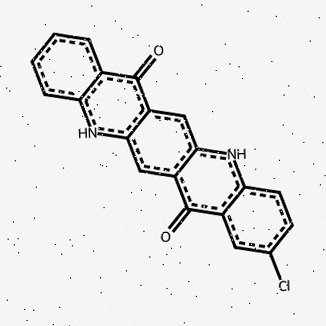 O=c1c2ccccc2[nH]c2cc3c(=O)c4cc(Cl)ccc4[nH]c3cc12